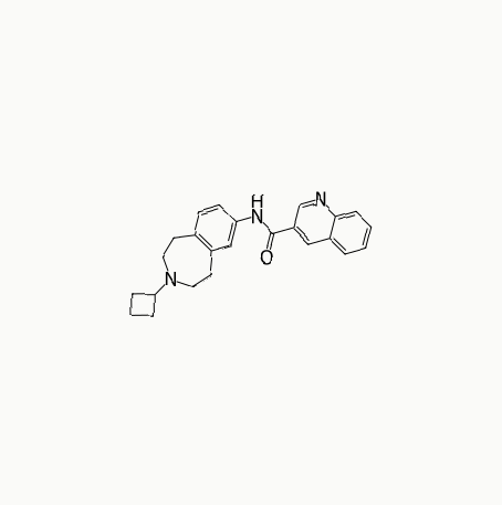 O=C(Nc1ccc2c(c1)CCN(C1CCC1)CC2)c1cnc2ccccc2c1